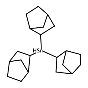 C1CC2CC1C[CH]2[SnH]([CH]1CC2CCC1C2)[CH]1CC2CCC1C2